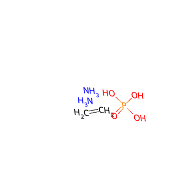 C=C.N.N.O=P(O)(O)O